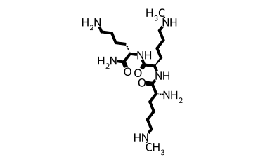 CNCCCC[C@@H](N)C(=O)N[C@H](CCCCNC)C(=O)N[C@@H](CCCCN)C(N)=O